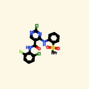 CCCS(=O)(=O)c1ccccc1Nc1nc(Cl)ncc1C(=O)Nc1c(F)cccc1Cl